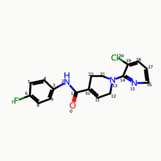 O=C(Nc1ccc(F)cc1)C1=CCN(c2ncccc2Cl)CC1